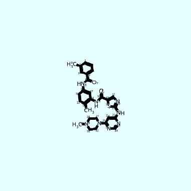 Cc1cccc(C(=O)Nc2ccc(C)c(NC(=O)c3cnc(Nc4cc(N5CCN(C)CC5)ncn4)s3)c2)c1